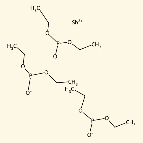 CCOP([O-])OCC.CCOP([O-])OCC.CCOP([O-])OCC.[Sb+3]